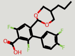 CCCC1COC(c2cc(F)c(C(=O)O)c(F)c2-c2ccc(F)c(F)c2)OC1